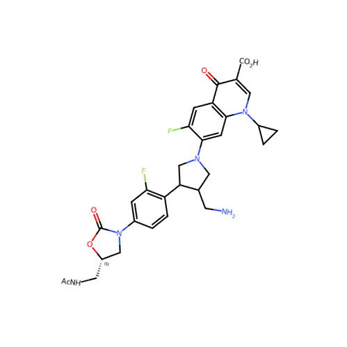 CC(=O)NC[C@H]1CN(c2ccc(C3CN(c4cc5c(cc4F)c(=O)c(C(=O)O)cn5C4CC4)CC3CN)c(F)c2)C(=O)O1